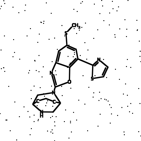 CSc1cc(-c2nccs2)c2oc(N3CC4CCCC3CN4)nc2c1